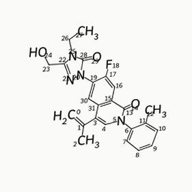 C=C(C)c1cn(-c2ccccc2C)c(=O)c2cc(F)c(-n3nc(CO)n(CC)c3=O)cc12